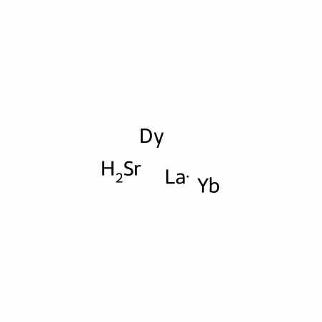 [Dy].[La].[SrH2].[Yb]